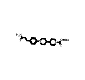 CC(C)(C)OC(=O)N1CCC(C2CCN(c3ccc(CCC(N)=S)cc3)CC2)CC1